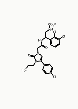 O=C(O)NCC(NC(=O)Cn1nc(-c2ccc(Cl)cc2)n(CCC(F)(F)F)c1=O)c1cccc(Cl)c1Cl